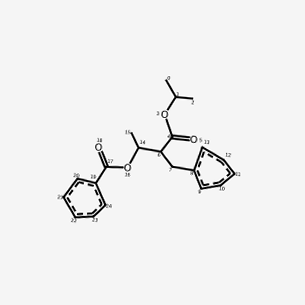 CC(C)OC(=O)C(Cc1ccccc1)C(C)OC(=O)c1ccccc1